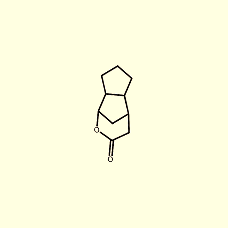 O=C1CC2CC(O1)C1CCCC21